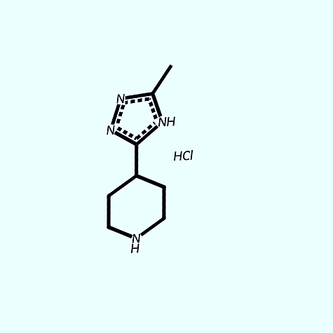 Cc1nnc(C2CCNCC2)[nH]1.Cl